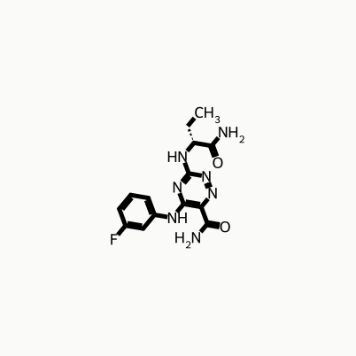 CC[C@@H](Nc1nnc(C(N)=O)c(Nc2cccc(F)c2)n1)C(N)=O